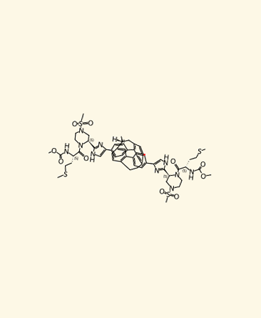 COC(=O)N[C@@H](CCSC)C(=O)N1CCN(S(C)(=O)=O)C[C@H]1c1nc(-c2ccc(-c3cc4ccc3CCc3ccc(c(-c5ccc(-c6c[nH]c([C@@H]7CN(S(C)(=O)=O)CCN7C(=O)[C@H](CCSC)NC(=O)OC)n6)cc5)c3)C[C@H]4C)cc2)c[nH]1